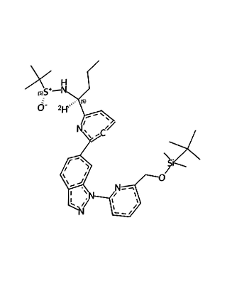 [2H][C@@](CCC)(N[S@+]([O-])C(C)(C)C)c1cccc(-c2ccc3cnn(-c4cccc(CO[Si](C)(C)C(C)(C)C)n4)c3c2)n1